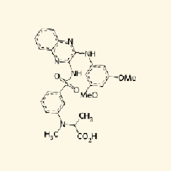 COc1cc(Nc2nc3ccccc3nc2NS(=O)(=O)c2cccc(N(C)C(C)C(=O)O)c2)cc(OC)c1